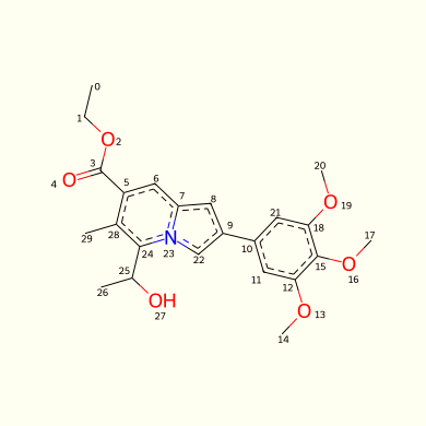 CCOC(=O)c1cc2cc(-c3cc(OC)c(OC)c(OC)c3)cn2c(C(C)O)c1C